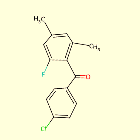 Cc1cc(C)c(C(=O)c2ccc(Cl)cc2)c(F)c1